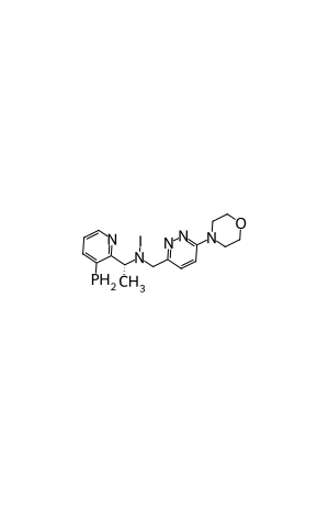 C[C@H](c1ncccc1P)N(I)Cc1ccc(N2CCOCC2)nn1